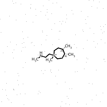 CNCC[N+]1(C)CC[C@@H](C)[C@@H](C)CC1